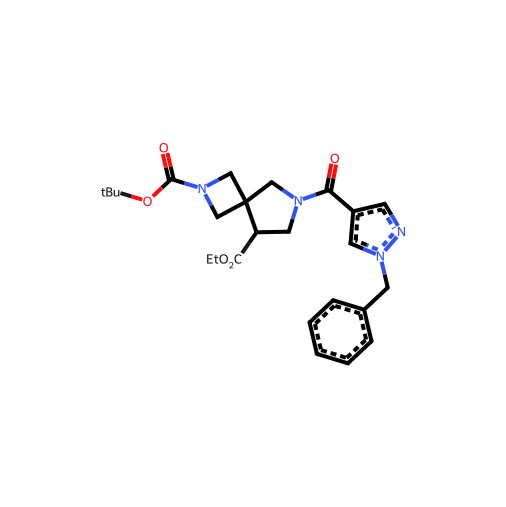 CCOC(=O)C1CN(C(=O)c2cnn(Cc3ccccc3)c2)CC12CN(C(=O)OC(C)(C)C)C2